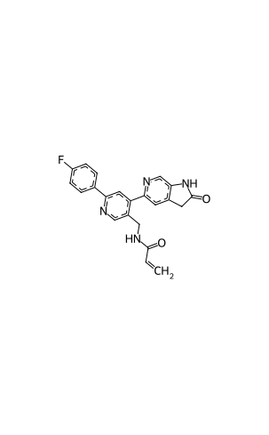 C=CC(=O)NCc1cnc(-c2ccc(F)cc2)cc1-c1cc2c(cn1)NC(=O)C2